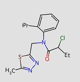 CCC(Cl)C(=O)N(Cc1nnc(C)s1)c1ccccc1C(C)C